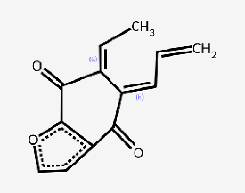 C=C/C=C1/C(=O)c2ccoc2C(=O)/C1=C/C